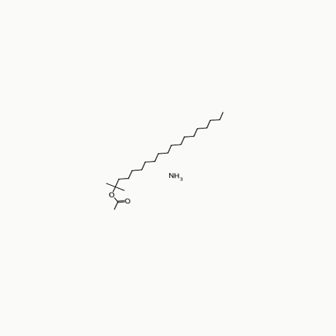 CCCCCCCCCCCCCCCCCC(C)(C)OC(C)=O.N